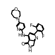 O=C1NCc2nc(-c3c(F)cccc3F)cc(Nc3ccc(N4CCCOCC4)cn3)c21